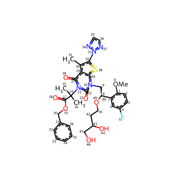 COc1ccc(F)cc1[C@H](Cn1c(=O)n(C(C)(C)C(=O)OCc2ccccc2)c(=O)c2c(C)c(-n3nccn3)sc21)OCCC(O)CO